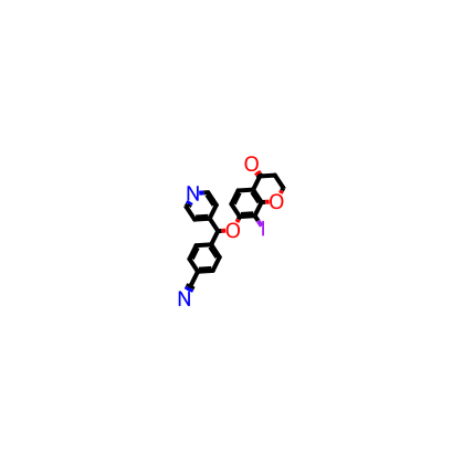 N#Cc1ccc(C(Oc2ccc3c(c2I)OCCC3=O)c2ccncc2)cc1